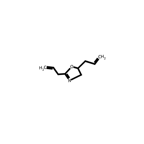 C=CCC1=NCC(CC=C)O1